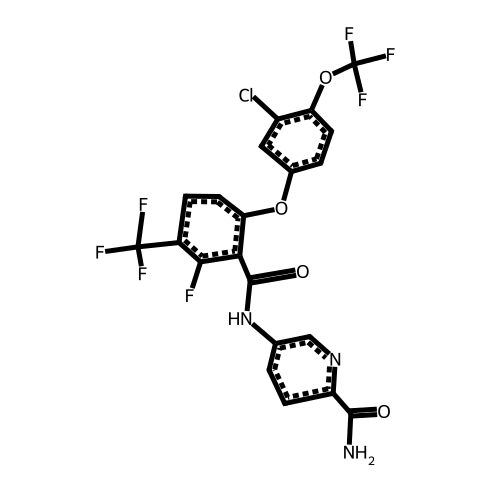 NC(=O)c1ccc(NC(=O)c2c(Oc3ccc(OC(F)(F)F)c(Cl)c3)ccc(C(F)(F)F)c2F)cn1